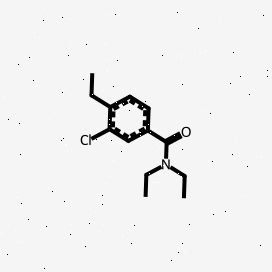 CCc1ccc(C(=O)N(CC)CC)cc1Cl